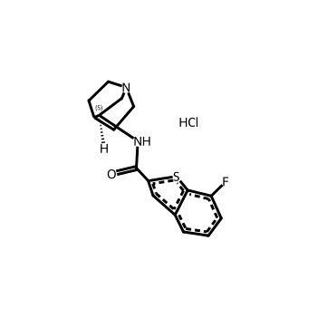 Cl.O=C(N[C@@H]1CN2CCC1CC2)c1cc2cccc(F)c2s1